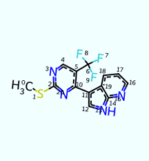 CSc1ncc(C(F)(F)F)c(-c2c[nH]c3ncccc23)n1